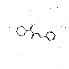 O=C(/C=C/c1ccccc1)C(=O)N1CCCCC1